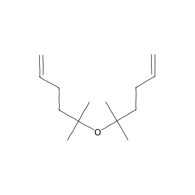 C=CCCC(C)(C)OC(C)(C)CCC=C